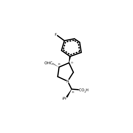 CC(C)[C@H](C(=O)O)N1C[C@H](c2cccc(F)c2)[C@@H](C=O)C1